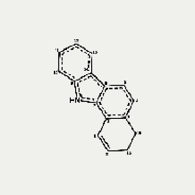 C1=Cc2c(ccc3c2[nH]c2ccccc23)CC1